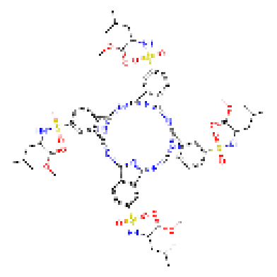 COC(=O)C(CC(C)C)NS(=O)(=O)c1ccc2c(c1)-c1nc-2nc2[nH]c(nc3nc(nc4[nH]c(n1)c1ccc(S(=O)(=O)NC(CC(C)C)C(=O)OC)cc41)-c1ccc(S(=O)(=O)NC(CC(C)C)C(=O)OC)cc1-3)c1ccc(S(=O)(=O)NC(CC(C)C)C(=O)OC)cc21